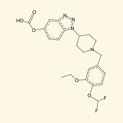 CCOc1cc(CN2CCC(n3nnc4cc(OC(=O)O)ccc43)CC2)ccc1OC(F)F